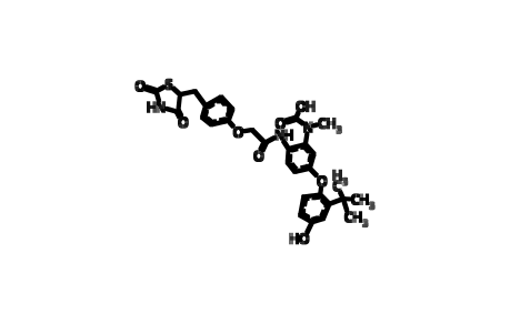 CN(C(=O)O)c1cc(Oc2ccc(O)cc2C(C)(C)C)ccc1NC(=O)COc1ccc(CC2SC(=O)NC2=O)cc1